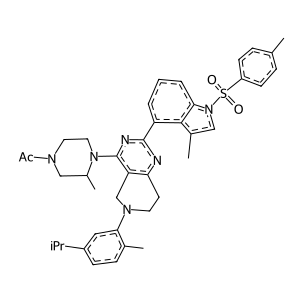 CC(=O)N1CCN(c2nc(-c3cccc4c3c(C)cn4S(=O)(=O)c3ccc(C)cc3)nc3c2CN(c2cc(C(C)C)ccc2C)CC3)C(C)C1